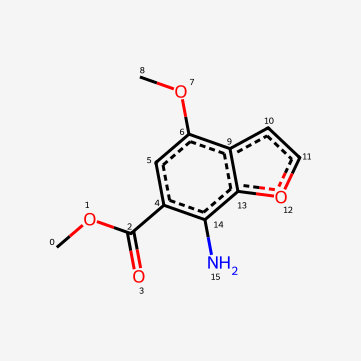 COC(=O)c1cc(OC)c2ccoc2c1N